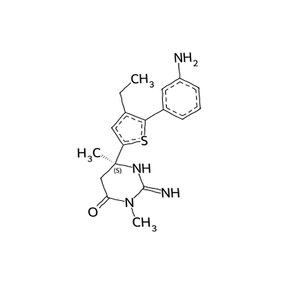 CCc1cc([C@]2(C)CC(=O)N(C)C(=N)N2)sc1-c1cccc(N)c1